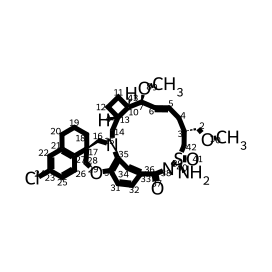 COC[C@H]1C/C=C/[C@H](OC)[C@@H]2CC[C@H]2CN2C[C@@]3(CCCc4cc(Cl)ccc43)COc3ccc(cc32)C(=O)N=[S@@](N)(=O)C1